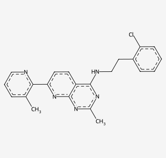 Cc1nc(NCCc2ccccc2Cl)c2ccc(-c3ncccc3C)nc2n1